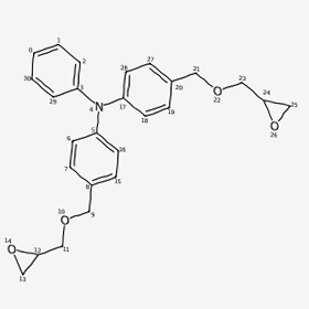 c1ccc(N(c2ccc(COCC3CO3)cc2)c2ccc(COCC3CO3)cc2)cc1